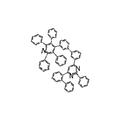 c1ccc(-c2nc(-c3cccc(-c4cccc(-c5c(-c6ccccc6)c(-c6ccccc6)nc(-c6ccccc6)c5-c5ccccc5)c4)c3)cc(-c3ccccc3-c3ccccc3)n2)cc1